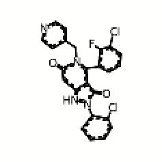 O=c1c2c(-c3cccc(Cl)c3F)n(Cc3ccncc3)c(=O)cc2[nH]n1-c1ccccc1Cl